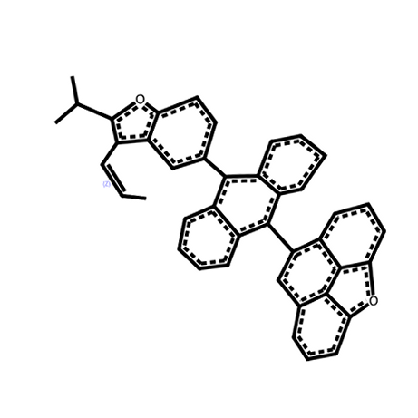 C/C=C\c1c(C(C)C)oc2ccc(-c3c4ccccc4c(-c4cc5cccc6oc7cccc4c7c56)c4ccccc34)cc12